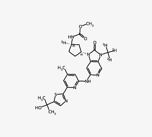 [2H]C([2H])([2H])n1c(=O)n([C@@H]2CC[C@@]([2H])(NC(=O)OC)C2)c2cc(Nc3cc(C)cc(-c4ncc(C(C)(C)O)s4)n3)ncc21